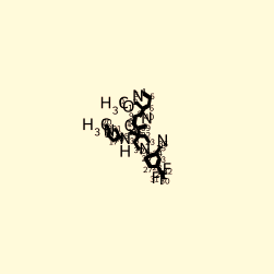 COc1ncccc1-c1ccc(C2(C(=O)N[C@@H]3CCN(C)C3)CCN(c3ccc(C(F)(F)F)cc3C#N)CC2)cn1